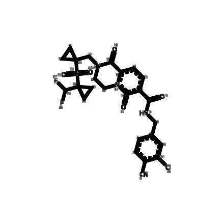 N#Cc1ccc(CNC(=O)c2ccc3n(c2=O)CCN(CC2(S(=O)(=O)C4(C(F)F)CC4)CC2)C3=O)cc1Cl